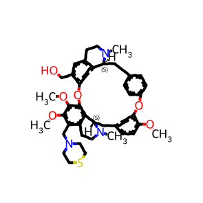 COc1ccc2cc1Oc1ccc(cc1)C[C@H]1c3cc(c(CO)cc3CCN1C)Oc1c(OC)c(OC)c(CN3CCSCC3)c3c1[C@H](C2)N(C)CC3